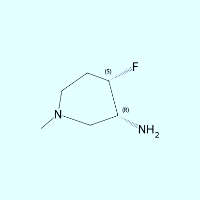 CN1CC[C@H](F)[C@H](N)C1